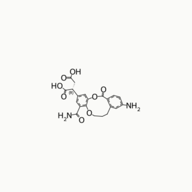 NC(=O)c1cc([C@@H](CC(=O)O)C(=O)O)cc2c1OCCCc1cc(N)ccc1C(=O)O2